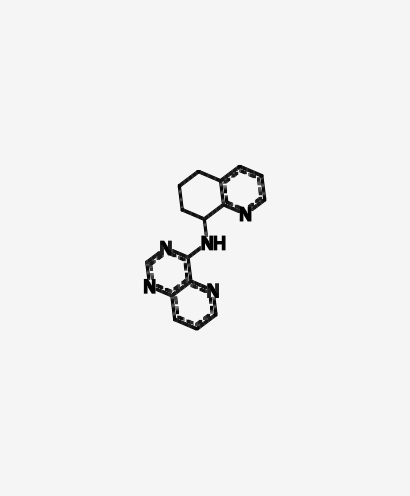 c1cnc2c(c1)CCCC2Nc1ncnc2cccnc12